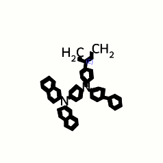 C=C/C=C(\C=C)c1ccc(N(c2ccc(-c3ccccc3)cc2)c2ccc(N(c3ccc4ccccc4c3)c3ccc4ccccc4c3)cc2)cc1